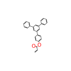 C=CC(=O)Oc1ccc(-c2cc(-c3ccccc3)cc(-c3ccccc3)c2)cc1